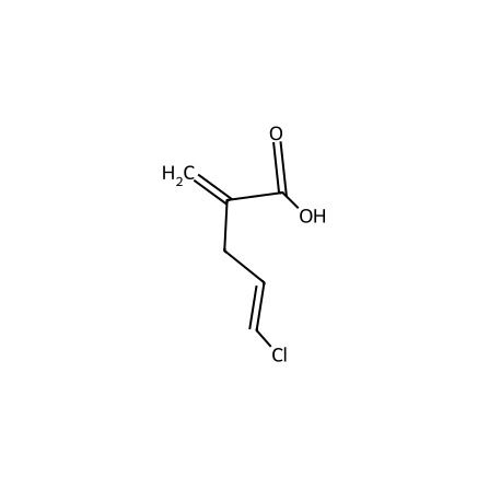 C=C(CC=CCl)C(=O)O